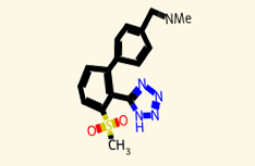 CNCc1ccc(-c2cccc(S(C)(=O)=O)c2-c2nnn[nH]2)cc1